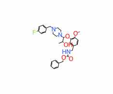 COc1ccc(CNC(=O)OCc2ccccc2)cc1OC(C(C)O)N1CCN(Cc2ccc(F)cc2)CC1